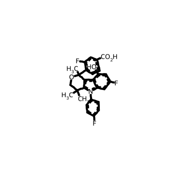 CC1(C)COC(C)(c2ccc(C(=O)O)cc2F)c2c1n(-c1ccc(F)cc1)c1cc(F)cc(O)c21